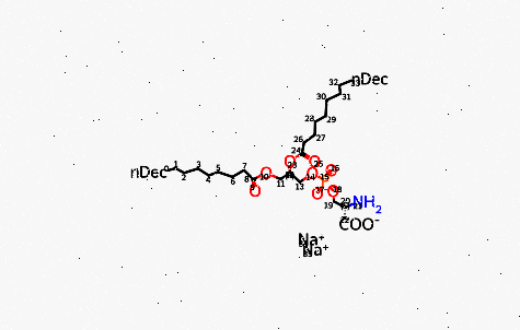 CCCCCCCCCCCCCCCCCC(=O)OC[C@H](COP(=O)([O-])OC[C@H](N)C(=O)[O-])OC(=O)CCCCCCCCCCCCCCCCC.[Na+].[Na+]